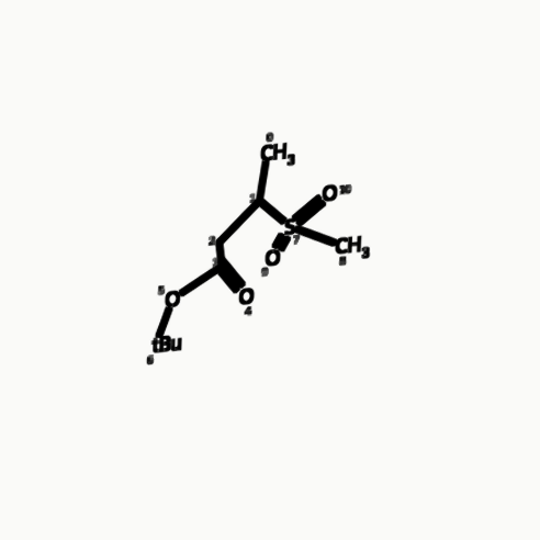 CC(CC(=O)OC(C)(C)C)S(C)(=O)=O